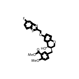 COC(=O)c1cc(C[C@@H]2COc3ccc(OCc4nc5cc(F)ccc5s4)cc3[C@H]2O)ccc1OC